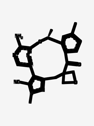 Cc1ccc2c(c1)[C@@H](C)Oc1nc(cnc1N)-c1c(nn(C)c1C#N)CC1(COC1)C2=O